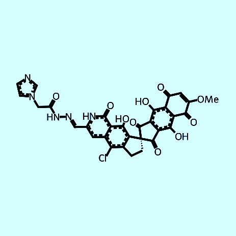 COC1=CC(=O)c2c(O)c3c(c(O)c2C1=O)C(=O)[C@]1(CCc2c1c(O)c1c(=O)[nH]c(/C=N/NC(=O)Cn4ccnc4)cc1c2Cl)C3=O